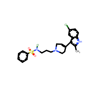 Cc1[nH]c2ccc(Cl)cc2c1C1=CCN(CCCN(Cl)S(=O)(=O)c2ccccc2)CC1